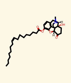 CCCCCCCC/C=C\CCCCCCCC(=O)Oc1ccc2c3c1O[C@H]1C(=O)CC[C@@]4(O)[C@@H](C2)N(C)CC[C@]314